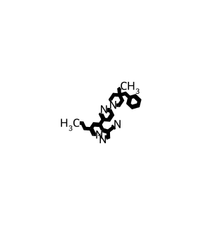 CCCc1cc(-c2ccc(N3CCC(CC)(Cc4ccccc4)CC3)nc2)c2c(C#N)cnn2c1